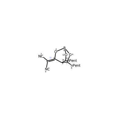 [C-]#[N+]/C(C#N)=C1/OB2OC(CCCCC)C1C(CCCCC)O2